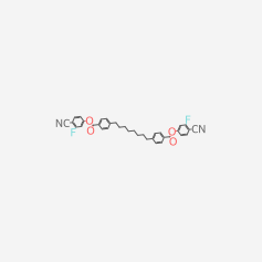 N#Cc1ccc(OC(=O)c2ccc(CCCCCCCCc3ccc(C(=O)Oc4ccc(C#N)c(F)c4)cc3)cc2)cc1F